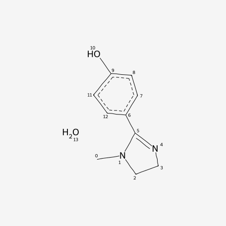 CN1CCN=C1c1ccc(O)cc1.O